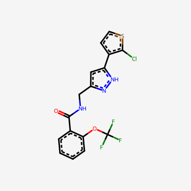 O=C(NCc1cc(-c2ccsc2Cl)[nH]n1)c1ccccc1OC(F)(F)F